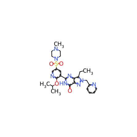 CCc1c2nc(-c3cc(S(=O)(=O)N4CCN(C)CC4)cnc3OC(C)C)[nH]c(=O)c2nn1Cc1ccccn1